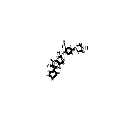 CNc1nc(Nc2ccc(N3CCNCC3)cc2OC)ncc1/N=C(\C=O)c1ccccc1